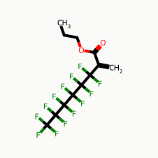 C=C(C(=O)OCCC)C(F)(F)C(F)(F)C(F)(F)C(F)(F)C(F)(F)C(F)(F)F